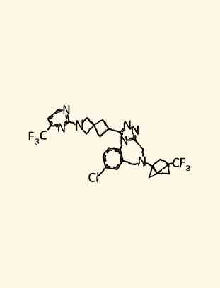 FC(F)(F)c1ccnc(N2CC3(CC(c4nnc5n4-c4ccc(Cl)cc4CN(C46CC7(C(F)(F)F)CC47C6)C5)C3)C2)n1